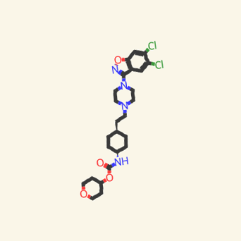 O=C(N[C@H]1CC[C@H](CCN2CCN(c3noc4cc(Cl)c(Cl)cc34)CC2)CC1)OC1CCOCC1